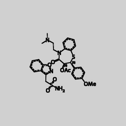 COc1ccc([C@@H]2Sc3ccccc3N(CCN(C)C)C(=O)[C@@H]2OC(C)=O)cc1.NS(=O)(=O)Cc1noc2ccccc12